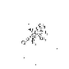 CCOc1cc(CN(CCOCc2ccccc2)C(N)=O)c(C)c(OCC)c1C(C)=O